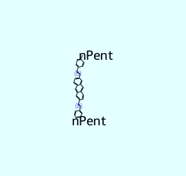 CCCCCc1ccc(/C=C/c2ccc3cc4cc(/C=C/c5ccc(CCCCC)cc5)ccc4cc3c2)cc1